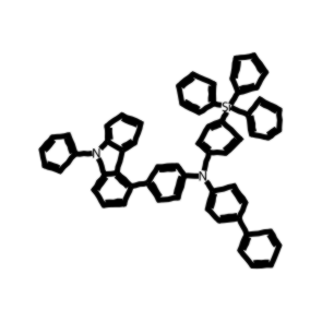 c1ccc(-c2ccc(N(c3ccc(-c4cccc5c4c4ccccc4n5-c4ccccc4)cc3)c3ccc([Si](c4ccccc4)(c4ccccc4)c4ccccc4)cc3)cc2)cc1